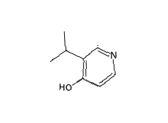 CC(C)c1[c]nccc1O